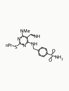 CCCSc1nc(NC)c(C=N)c(NCc2ccc(S(N)(=O)=O)cc2)n1